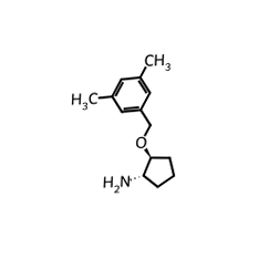 Cc1cc(C)cc(CO[C@H]2CCC[C@@H]2N)c1